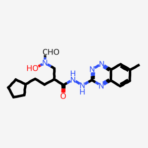 Cc1ccc2nc(NNC(=O)C(CCC3CCCC3)CN(O)C=O)nnc2c1